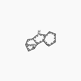 c1ccc2c(c1)[nH]c1cc3cc([nH]3)c12